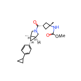 COC(=O)N[C@]1(C)C[C@H](C(=O)N2C[C@H]3[C@H](c4ccc(C5CC5)cc4)[C@@]3(C)C2)C1